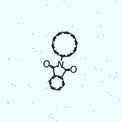 O=C1c2ccccc2C(=O)N1c1ccccccccc1